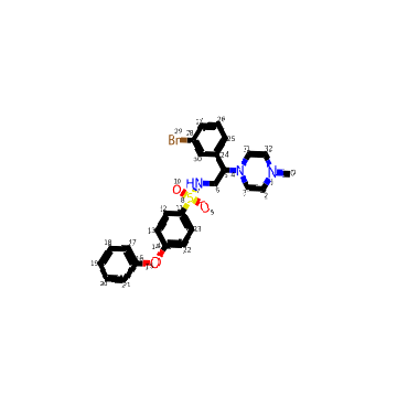 CN1CCN(C(CNS(=O)(=O)c2ccc(Oc3ccccc3)cc2)c2cccc(Br)c2)CC1